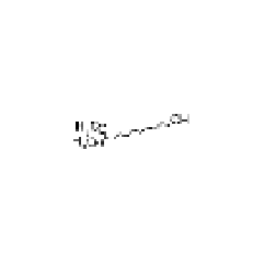 COC(CCCCC/C=C/CCO)OC